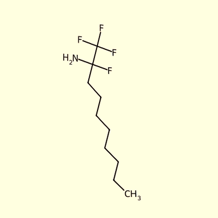 CCCCCCCCC(N)(F)C(F)(F)F